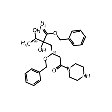 C=C(OCc1ccccc1)C(O)(C[C@@H](CC(=O)N1CCNCC1)OCc1ccccc1)[C@@H](C)O